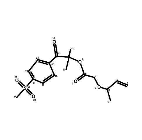 C=CC(C)OCC(=O)OC(C)(C)C(=O)c1ccc(S(C)(=O)=O)cc1